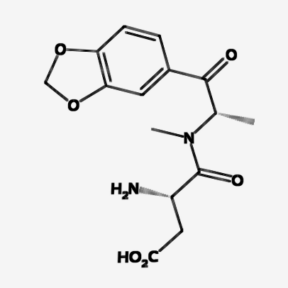 C[C@@H](C(=O)c1ccc2c(c1)OCO2)N(C)C(=O)[C@@H](N)CC(=O)O